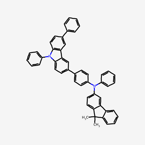 CC1(C)c2ccccc2-c2cc(N(c3ccccc3)c3ccc(-c4ccc5c(c4)c4cc(-c6ccccc6)ccc4n5-c4ccccc4)cc3)ccc21